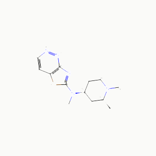 C[C@H]1C[C@@H](N(C)c2nc3nnccc3s2)CCN1C